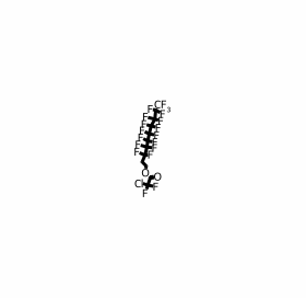 O=C(OCCC(F)(F)C(F)(F)C(F)(F)C(F)(F)C(F)(F)C(F)(F)C(F)(F)C(F)(F)F)C(F)(F)Cl